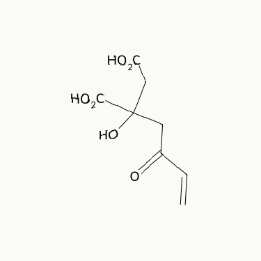 C=CC(=O)CC(O)(CC(=O)O)C(=O)O